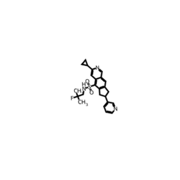 CC(C)(F)CNS(=O)(=O)c1c2c(cc3cnc(C4CC4)cc13)CC(c1cccnc1)C2